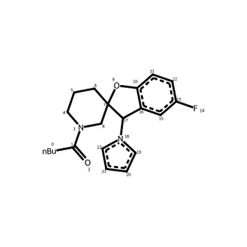 CCCCC(=O)N1CCCC2(C1)Oc1ccc(F)cc1C2n1cccc1